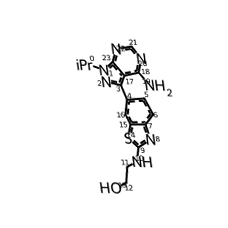 CC(C)n1nc(-c2ccc3nc(NCCO)sc3c2)c2c(N)ncnc21